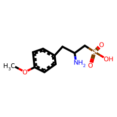 COc1ccc(CC(N)CS(=O)(=O)O)cc1